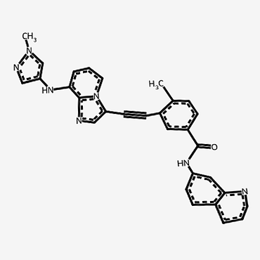 Cc1ccc(C(=O)Nc2ccc3cccnc3c2)cc1C#Cc1cnc2c(Nc3cnn(C)c3)cccn12